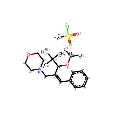 CS(=O)(=O)Cl.C[SiH](C)OC(C(=Cc1ccccc1)CN1CCOCC1)C(C)(C)C